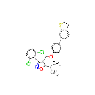 CC(C)c1onc(-c2c(Cl)cccc2Cl)c1COc1ccc(-c2ccc3c(c2)SCC3)cc1